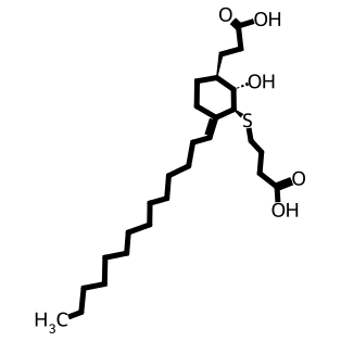 CCCCCCCCCCCCC/C=C1\CC[C@@H](CCC(=O)O)[C@H](O)[C@H]1SCCCC(=O)O